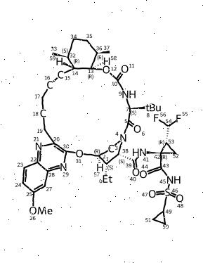 CC[C@@H]1[C@@H]2CN(C(=O)[C@H](C(C)(C)C)NC(=O)O[C@H]3[C@H](CCCCCc4nc5ccc(OC)cc5nc4O2)[C@@H](C)CC[C@H]3C)[C@@H]1C(=O)N[C@]1(C(=O)NS(=O)(=O)C2CC2)C[C@H]1C(F)F